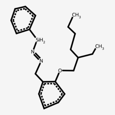 CCCCC(CC)COc1ccccc1CN=N[SiH2]c1ccccc1